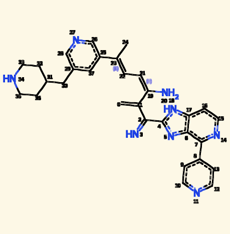 C=C(C(=N)c1nc2c(-c3ccncc3)nccc2[nH]1)/C(N)=C\C=C(/C)c1cncc(CC2CCNCC2)c1